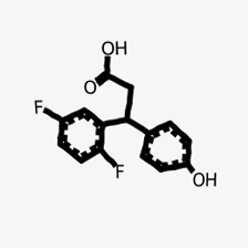 O=C(O)CC(c1ccc(O)cc1)c1cc(F)ccc1F